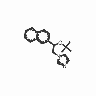 CC(C)(C)OC(Cn1ccnc1)c1ccc2ccccc2c1